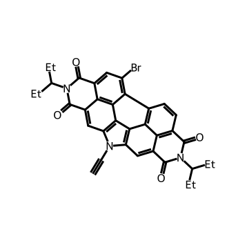 C#Cn1c2cc3c(=O)n(C(CC)CC)c(=O)c4ccc5c6c(Br)cc7c(=O)n(C(CC)CC)c(=O)c8cc1c(c6c78)c2c5c43